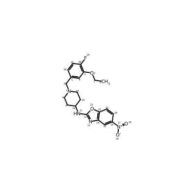 CCOc1cc(CN2CCC(Nc3nc4cc([N+](=O)[O-])ccc4o3)CC2)ccc1F